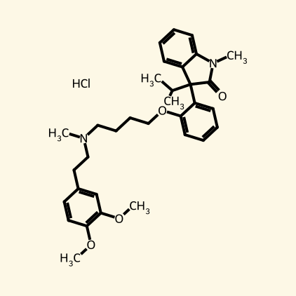 COc1ccc(CCN(C)CCCCOc2ccccc2C2(C(C)C)C(=O)N(C)c3ccccc32)cc1OC.Cl